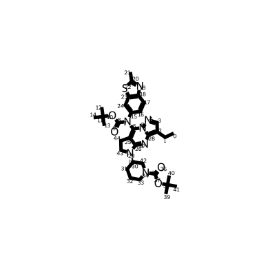 CCc1cnn2c(N(C(=O)OC(C)(C)C)c3ccc4nc(C)sc4c3)c3c(nc12)N([C@H]1CCCN(C(=O)OC(C)(C)C)C1)CC3